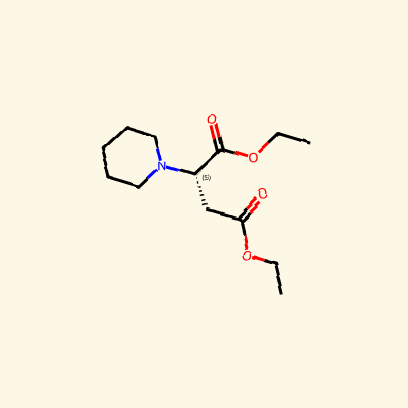 CCOC(=O)C[C@@H](C(=O)OCC)N1CCCCC1